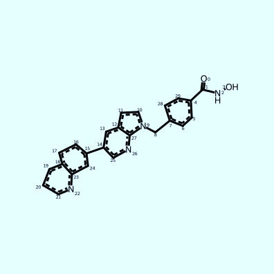 O=C(NO)c1ccc(Cn2ccc3cc(-c4ccc5cccnc5c4)cnc32)cc1